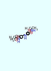 CC(C)NS(=O)(=O)c1ccc(NCC2CCC(NS(=O)(=O)C(C)(C)C)CC2)cc1